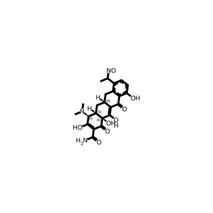 CC(N=O)c1ccc(O)c2c1C[C@H]1C[C@H]3[C@H](N(C)C)C(O)=C(C(N)=O)C(=O)[C@@]3(O)C(O)=C1C2=O